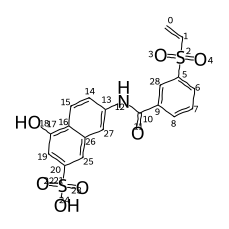 C=CS(=O)(=O)c1cccc(C(=O)Nc2ccc3c(O)cc(S(=O)(=O)O)cc3c2)c1